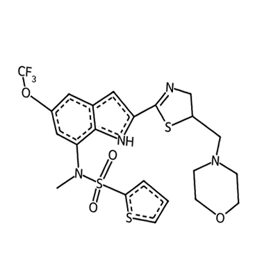 CN(c1cc(OC(F)(F)F)cc2cc(C3=NCC(CN4CCOCC4)S3)[nH]c12)S(=O)(=O)c1cccs1